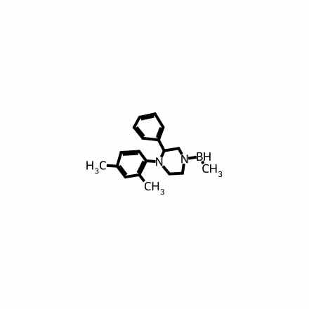 CBN1CCN(c2ccc(C)cc2C)C(c2ccccc2)C1